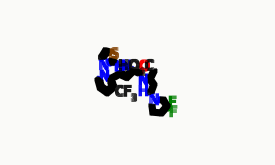 O=C(O)CC(CCN1CCCC(F)(F)C1)NC(=O)c1cc(-c2ncccc2C(F)(F)F)n(-c2nccs2)n1